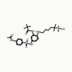 CC(=O)Nc1ccc(S(=O)(=O)Nc2ccc(NCCCCC(C)(C)[Si](C)(C)O)c(NC(=O)C(C)(C)C)c2)cc1